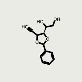 C#CC1OC(c2ccccc2)O[C@@H]1C(O)CO